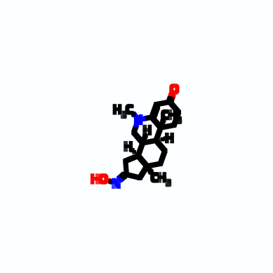 CN1C[C@H]2[C@@H]3C/C(=N\O)C[C@@]3(C)CC[C@@H]2[C@@]2(C)CCC(=O)C=C12